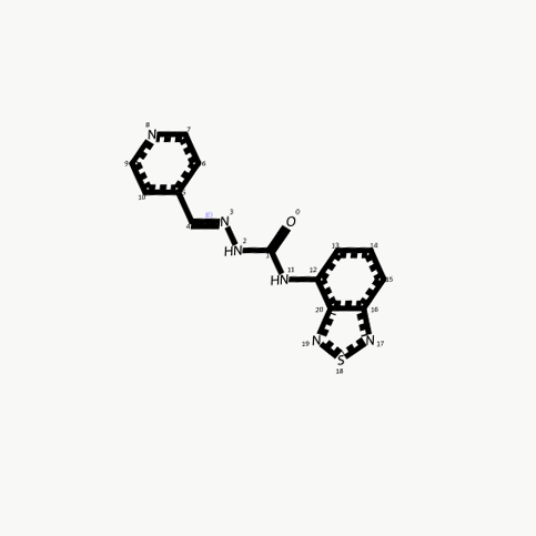 O=C(N/N=C/c1ccncc1)Nc1cccc2nsnc12